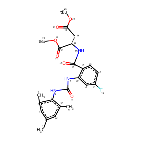 Cc1cc(C)c(NC(=O)Nc2cc(F)ccc2C(=O)N[C@@H](CC(=O)OC(C)(C)C)C(=O)OC(C)(C)C)c(C)c1